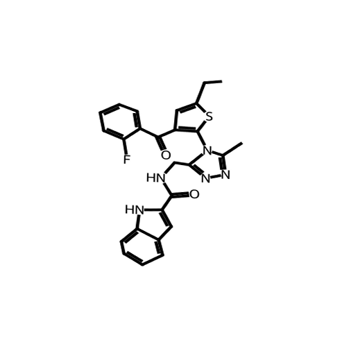 CCc1cc(C(=O)c2ccccc2F)c(-n2c(C)nnc2CNC(=O)c2cc3ccccc3[nH]2)s1